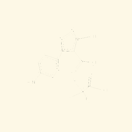 Cn1nnc(-c2ccc(N)cn2)c1C(=O)O.O=C(O)C(F)(F)F